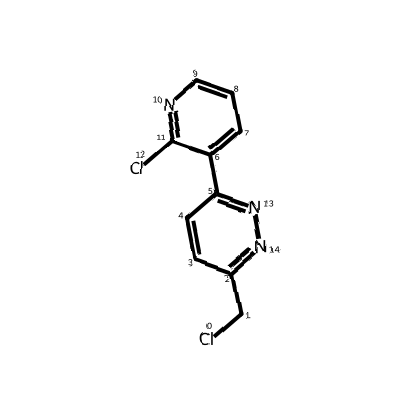 ClCc1ccc(-c2cccnc2Cl)nn1